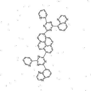 c1ccc(-c2nc(-c3ccc4ccc5c(-c6nc(-c7ccccn7)nc(-c7cccc8nccnc78)n6)ccc6ccc3c4c65)nc(-c3cccc4nccnc34)n2)nc1